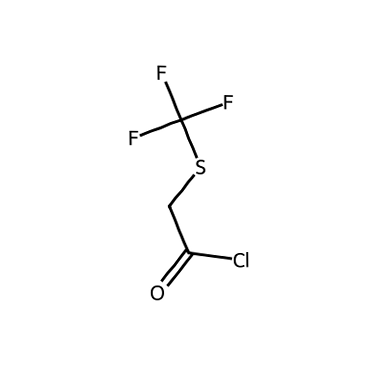 O=C(Cl)CSC(F)(F)F